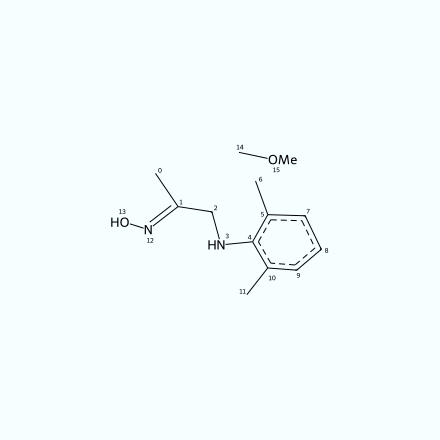 CC(CNc1c(C)cccc1C)=NO.COC